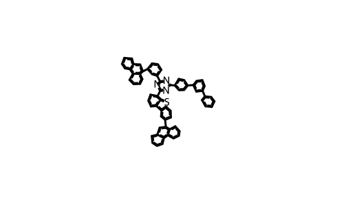 c1ccc(-c2cccc(-c3ccc(-c4nc(-c5cccc(-c6cc7ccccc7c7ccccc67)c5)nc(-c5cccc6c5sc5ccc(-c7cc8ccccc8c8ccccc78)cc56)n4)cc3)c2)cc1